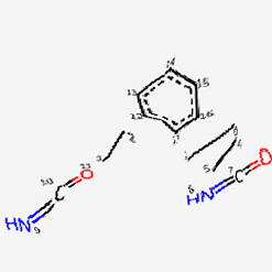 CC.CC.CC.N=C=O.N=C=O.c1ccccc1